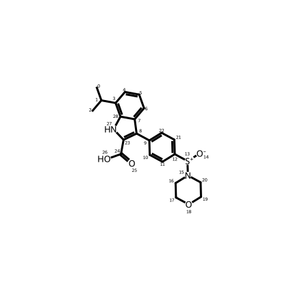 CC(C)c1cccc2c(-c3ccc([S+]([O-])N4CCOCC4)cc3)c(C(=O)O)[nH]c12